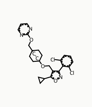 Clc1cccc(Cl)c1-c1noc(C2CC2)c1COC12CCC(COc3ncccn3)(CC1)CC2